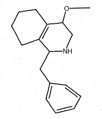 COC1CNC(Cc2ccccc2)C2=C1CCCC2